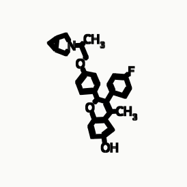 CC1=C(c2ccc(F)cc2)C(c2ccc(OCC(C)N3CC4CC4C3)cc2)Oc2ccc(O)cc21